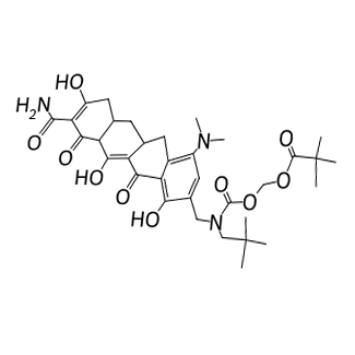 CN(C)c1cc(CN(CC(C)(C)C)C(=O)OCOC(=O)C(C)(C)C)c(O)c2c1CC1CC3CC(O)=C(C(N)=O)C(=O)C3C(O)=C1C2=O